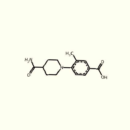 Cc1cc(C(=O)O)ccc1N1CCC(C(N)=O)CC1